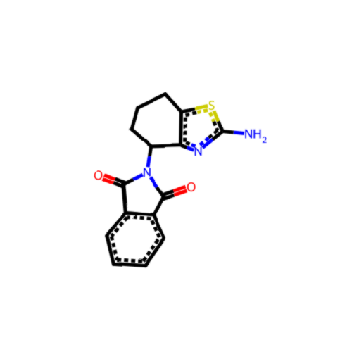 Nc1nc2c(s1)CCCC2N1C(=O)c2ccccc2C1=O